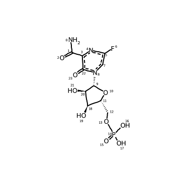 NC(=O)c1nc(F)cn([C@@H]2O[C@H](COP(=O)(O)O)[C@@H](O)[C@H]2O)c1=O